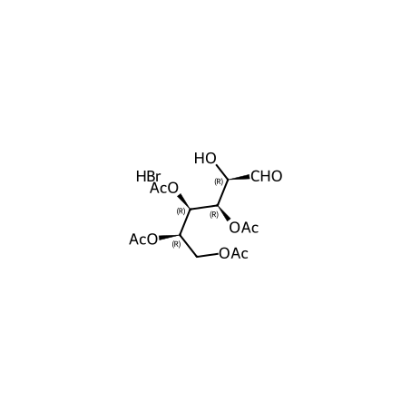 Br.CC(=O)OC[C@@H](OC(C)=O)[C@@H](OC(C)=O)[C@H](OC(C)=O)[C@@H](O)C=O